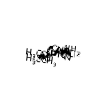 CC(C)(C)OC(=O)N1CC=C(Nc2ncnc(Cl)c2N)CCC1